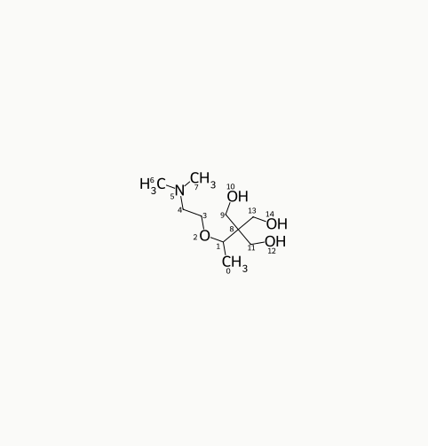 CC(OCCN(C)C)C(CO)(CO)CO